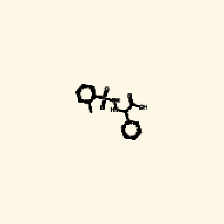 Cc1ccccc1S(=O)(=O)NNC(C(=O)O)c1ccccc1